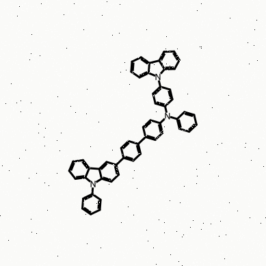 c1ccc(N(c2ccc(-c3ccc(-c4ccc5c(c4)c4ccccc4n5-c4ccccc4)cc3)cc2)c2ccc(-n3c4ccccc4c4ccccc43)cc2)cc1